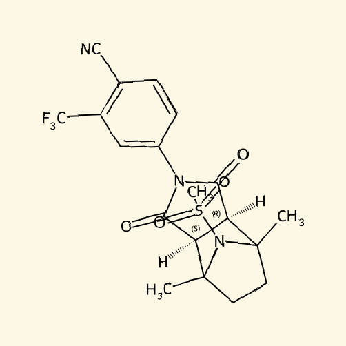 CC12CCC(C)([C@H]3C(=O)N(c4ccc(C#N)c(C(F)(F)F)c4)C(=O)[C@H]31)N2S(C)(=O)=O